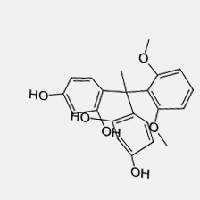 COc1cccc(OC)c1C(C)(c1ccc(O)cc1O)c1ccc(O)cc1O